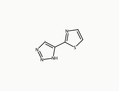 [c]1nn[nH]c1-c1nccs1